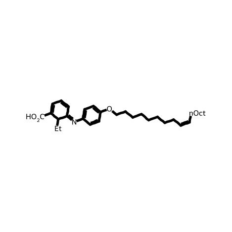 CCCCCCCC/C=C\CCCCCCCCOc1ccc(N=C2C=CC=C(C(=O)O)C2CC)cc1